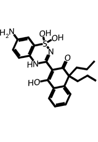 CCCC1(CCC)C(=O)C(C2=NS(O)(O)c3cc(N)ccc3N2)=C(O)c2ccccc21